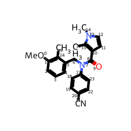 COc1cccc(CN(C(=O)c2ccn(C)c2C)c2ccc(C#N)cc2)c1C